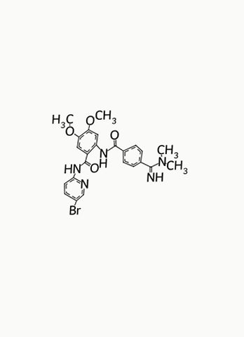 COc1cc(NC(=O)c2ccc(C(=N)N(C)C)cc2)c(C(=O)Nc2ccc(Br)cn2)cc1OC